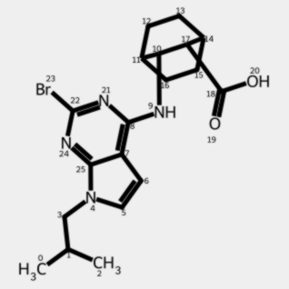 CC(C)Cn1ccc2c(NC3C4CCC(CC4)C3C(=O)O)nc(Br)nc21